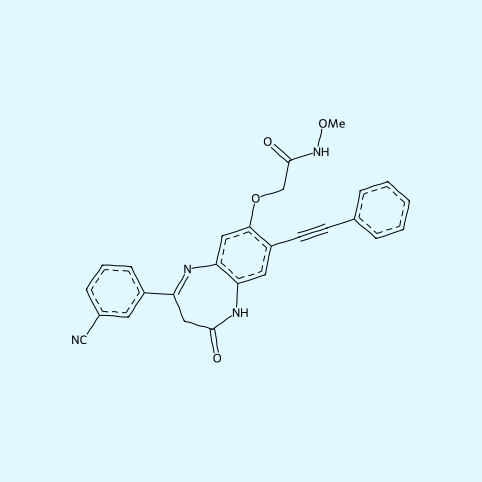 CONC(=O)COc1cc2c(cc1C#Cc1ccccc1)NC(=O)CC(c1cccc(C#N)c1)=N2